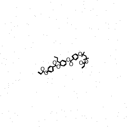 C=CC(=O)Oc1ccc(C(=O)Oc2ccc(OC(=O)c3ccc(OC(C)(C)CC(C)(C)OC(=O)C=C)cc3)cc2CCC)cc1